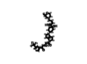 C/C=C(\C=C(/C)C(F)(F)F)C(=O)CNCC(=O)N1CCC2C1CCN2[C@H]1CC[C@@](O)(C(=N)/C=C\CN2CCOC(C)C2)CC1